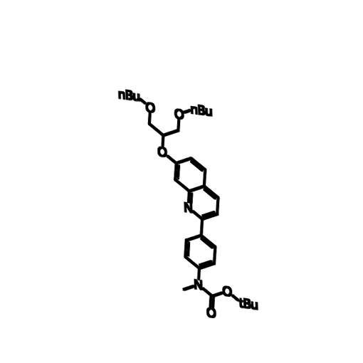 CCCCOCC(COCCCC)Oc1ccc2ccc(-c3ccc(N(C)C(=O)OC(C)(C)C)cc3)nc2c1